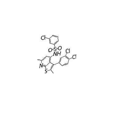 Cc1cc(NS(=O)(=O)c2cccc(Cl)c2)c2c(-c3ccc(Cl)c(Cl)c3)c(C)sc2n1